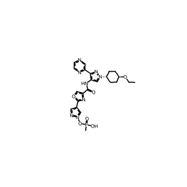 CCO[C@H]1CC[C@H](n2cc(NC(=O)c3coc(-c4cnn(OP(C)(=O)O)c4)n3)c(-c3cnccn3)n2)CC1